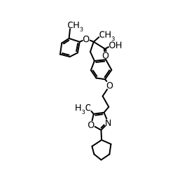 Cc1ccccc1OC(C)(Cc1ccc(OCCc2nc(C3CCCCC3)oc2C)cc1)C(=O)O